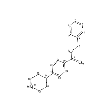 O=C(OCc1ccccc1)c1ccc(C2CCNCC2)cc1